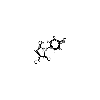 O=C1C=C(Cl)C(=O)N1c1ccc(F)cc1